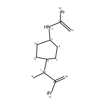 C=C(NC1CCC(N(C)C(=C)C(C)C)CC1)C(C)C